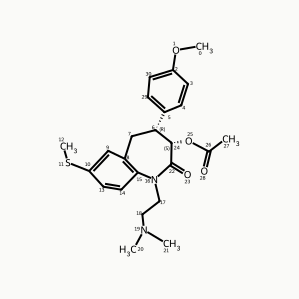 COc1ccc([C@H]2Cc3cc(SC)ccc3N(CCN(C)C)C(=O)[C@H]2OC(C)=O)cc1